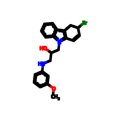 COc1cccc(NCC(O)Cn2c3c(c4ccccc42)CC(Br)C=C3)c1